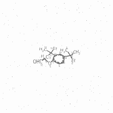 CCC(C)(C)c1ccc(OCC=O)c(C(C)(C)CC)c1